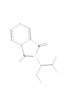 CC(C)CC(C(O)I)N1C(=O)c2ccccc2C1=O